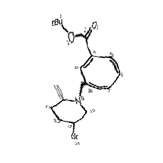 CC(C)(C)OC(=O)c1cccc(N2CCCC(Br)C2)c1